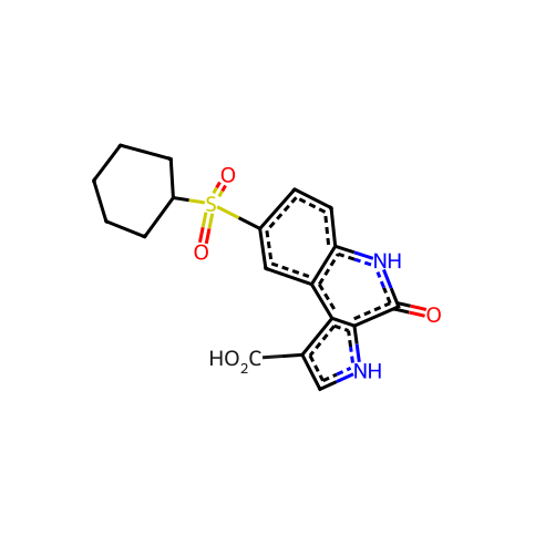 O=C(O)c1c[nH]c2c(=O)[nH]c3ccc(S(=O)(=O)C4CCCCC4)cc3c12